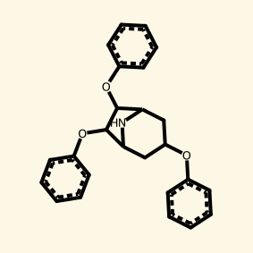 c1ccc(OC2C[C]3NC(C2)C(Oc2ccccc2)C3Oc2ccccc2)cc1